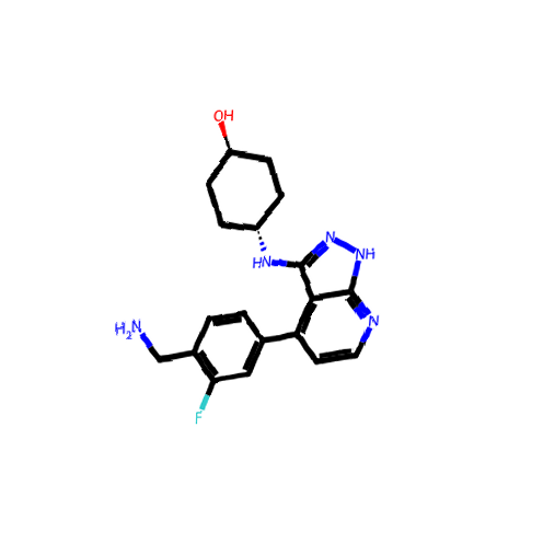 NCc1ccc(-c2ccnc3[nH]nc(N[C@H]4CC[C@H](O)CC4)c23)cc1F